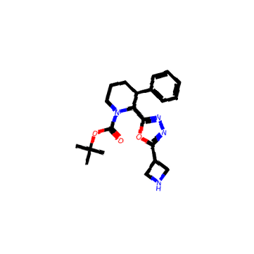 CC(C)(C)OC(=O)N1CCCC(c2ccccc2)C1c1nnc(C2CNC2)o1